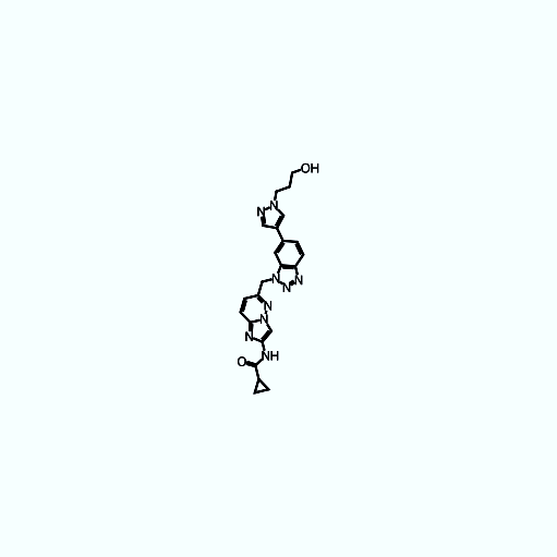 O=C(Nc1cn2nc(Cn3nnc4ccc(-c5cnn(CCCO)c5)cc43)ccc2n1)C1CC1